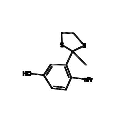 CCCc1ccc(O)cc1C1(C)SCCS1